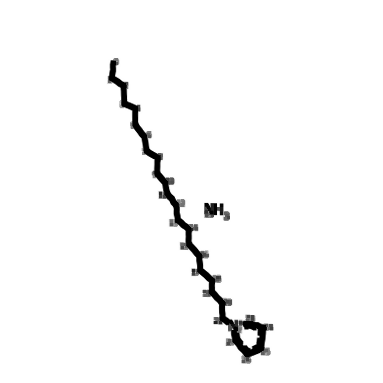 CCCCCCCCCCCCCCCCCCCCCC[n+]1ccccc1.N